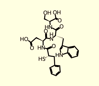 O=C(O)C[C@H](NC(=O)[C@@H](S)Cc1ccccc1)C(=O)N[C@@H](Cc1c[nH]c2ccccc12)C(=O)N[C@@H](CO)C(=O)O